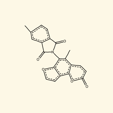 Cc1ccc2c(c1)C(=O)N(c1c(C)c3ccc(=O)oc3c3ccoc13)C2=O